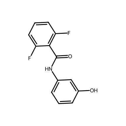 O=C(Nc1cccc(O)c1)c1c(F)cccc1F